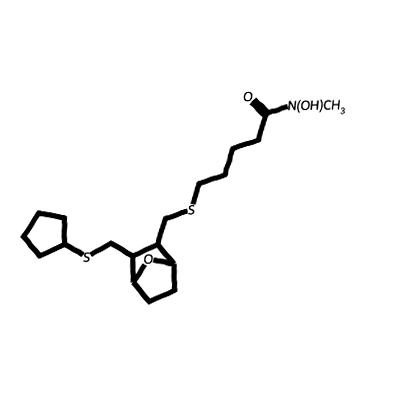 CN(O)C(=O)CCCCSCC1C2CCC(O2)C1CSC1CCCC1